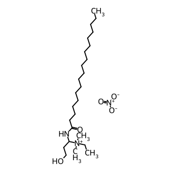 CCCCCCCCCCCCCCCCCC(=O)NC(CCO)[N+](C)(C)CC.O=[N+]([O-])[O-]